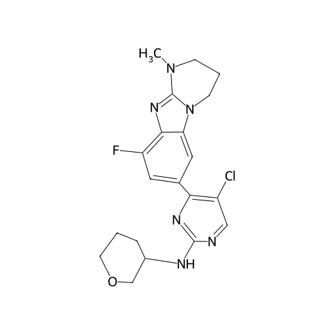 CN1CCCn2c1nc1c(F)cc(-c3nc(NC4CCCOC4)ncc3Cl)cc12